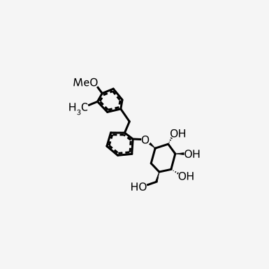 COc1ccc(Cc2ccccc2O[C@@H]2C[C@H](CO)[C@@H](O)[C@H](O)[C@H]2O)cc1C